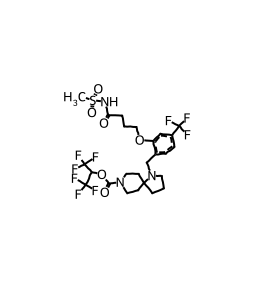 CS(=O)(=O)NC(=O)CCCOc1cc(C(F)(F)F)ccc1CN1CCCC12CCN(C(=O)OC(C(F)(F)F)C(F)(F)F)CC2